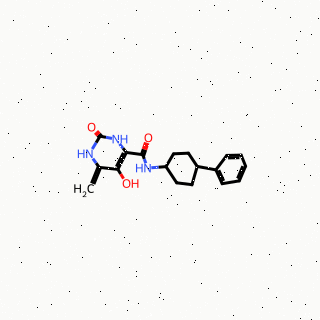 C=C1NC(=O)NC(C(=O)NC2CCC(c3ccccc3)CC2)=C1O